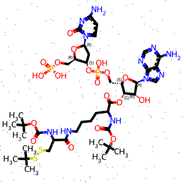 CC(C)(C)OC(=O)NC(CSSC(C)(C)C)C(=O)NCCCCC(NC(=O)OC(C)(C)C)C(=O)O[C@H]1[C@@H](O)[C@H](n2cnc3c(N)ncnc32)O[C@H]1COP(=O)(O)O[C@H]1C[C@H](n2ccc(N)nc2=O)O[C@@H]1COP(=O)(O)O